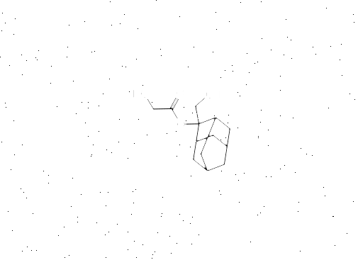 CCC(=O)OC1(CC)C2CC3CC(C2)CC1C3